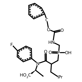 CC(C)CC(CP(=O)(O)CNC(=O)OCc1ccccc1)C(=O)N(c1ccc(F)cc1)[C@@H](C)C(=O)O